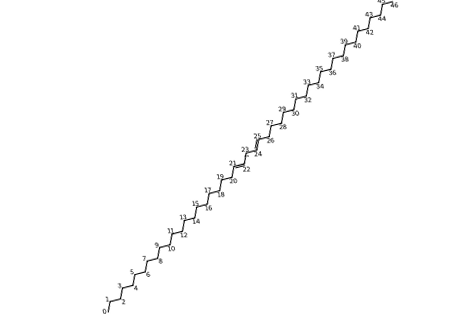 CCCCCCCCCCCCCCCCCCCCCC=C[C]C=CCCCCCCCCCCCCCCCCCCCCC